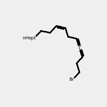 CCCCCCCCC/C=C\CC=C=CCCBr